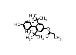 CCC(=O)Oc1cc(C(C)(C)C)c(-c2ccc(O)cc2)c(C(C)(C)C)c1